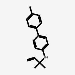 C=CC(C)(C)Bc1ccc(-c2ccc(C)cc2)cc1